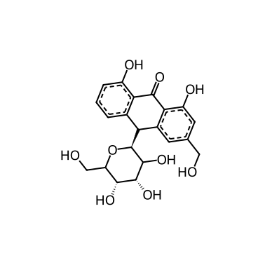 O=C1c2c(O)cccc2C([C@@H]2OC(CO)[C@@H](O)[C@@H](O)C2O)c2cc(CO)cc(O)c21